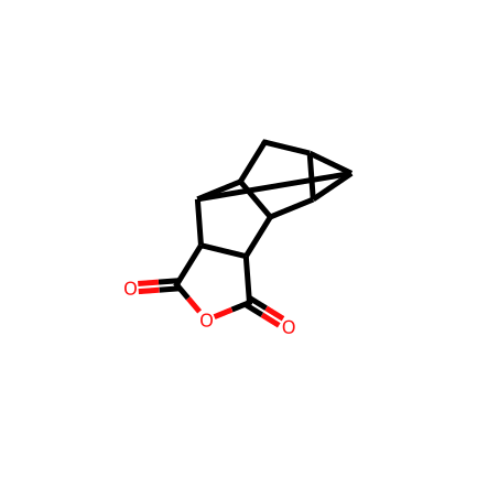 O=C1OC(=O)C2C1C1C3CC4C1C4C32